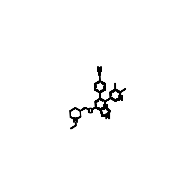 CCN1CCC[C@@H](COc2cc(-c3ccc(C#N)cc3)c(-c3cnc(C)c(C)c3)n3cncc23)C1